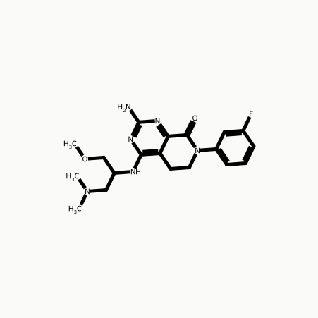 COCC(CN(C)C)Nc1nc(N)nc2c1CCN(c1cccc(F)c1)C2=O